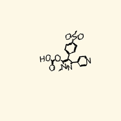 Cn1nc(-c2ccncc2)c(-c2ccc(S(C)(=O)=O)cc2)c1OC(=O)O